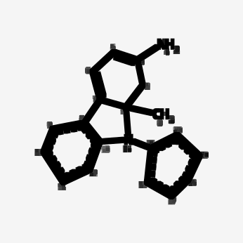 CC12CC(N)=CC=C1c1ccccc1N2c1ccccc1